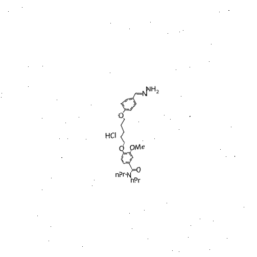 CCCN(CCC)C(=O)c1ccc(OCCCCCOc2ccc(C=NN)cc2)c(OC)c1.Cl